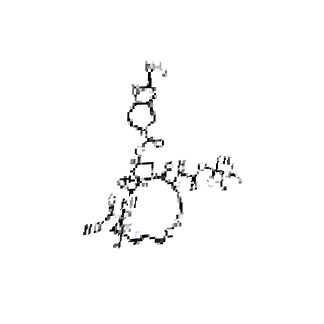 CC(C)(C)OC(=O)N[C@H]1CCCCC/C=C/[C@@H]2C[C@@]2(C(=O)O)NC(=O)[C@@H]2C[C@@H](OC(=O)N3CCc4nc(N)sc4C3)CN2C1=O